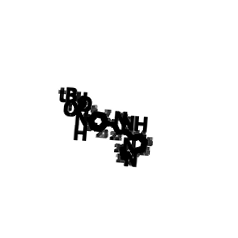 CC(C)(C)OC(=O)Nc1ccc(C2=NNC(c3cccc4nccn34)C2)cc1